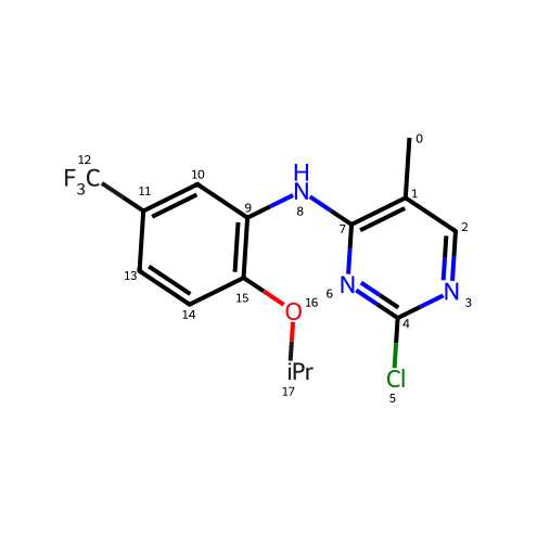 Cc1cnc(Cl)nc1Nc1cc(C(F)(F)F)ccc1OC(C)C